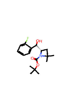 CC(C)(C)OC(=O)N1[C@H](C(O)c2ccccc2F)CC1(C)C